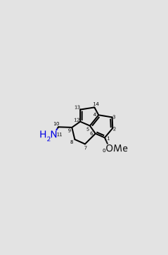 COc1ccc2c3c1CCC(CN)C3=CC2